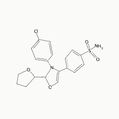 NS(=O)(=O)c1ccc(C2=COC(C3CCCO3)N2c2ccc(Cl)cc2)cc1